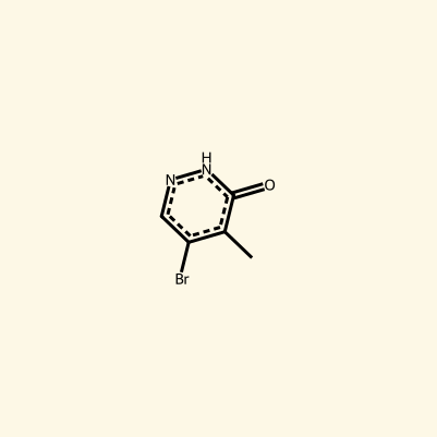 Cc1c(Br)cn[nH]c1=O